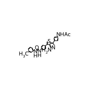 CC(=O)Nc1ccc(-c2cnc(N)c3c(-c4ccc(NC(=O)Nc5cccc(C)c5)cc4)csc23)cc1